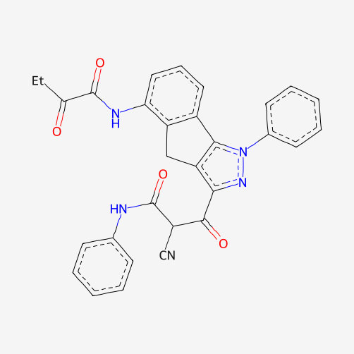 CCC(=O)C(=O)Nc1cccc2c1Cc1c(C(=O)C(C#N)C(=O)Nc3ccccc3)nn(-c3ccccc3)c1-2